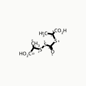 CC(SSC(=O)SC(C)C(=O)O)C(=O)O